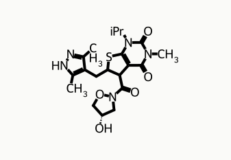 Cc1n[nH]c(C)c1CC1Sc2c(c(=O)n(C)c(=O)n2C(C)C)C1C(=O)N1C[C@H](O)CO1